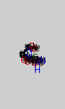 C[C@H](c1ccccc1C#CC1(NC(=O)OC(C)(C)C)CC1)n1c(=O)oc2cc(S(=O)(=O)Nc3ncns3)c(F)cc21